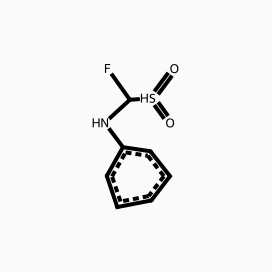 O=[SH](=O)C(F)Nc1ccccc1